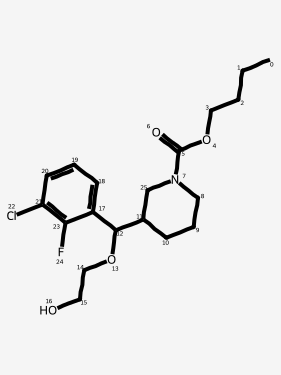 CCCCOC(=O)N1CCCC(C(OCCO)c2cccc(Cl)c2F)C1